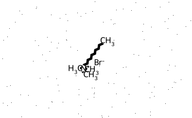 CCCCCCCCCCC[N+](C)(C)CC.[Br-]